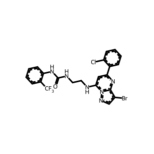 O=C(NCCNc1cc(-c2ccccc2Cl)nc2c(Br)cnn12)Nc1ccccc1C(F)(F)F